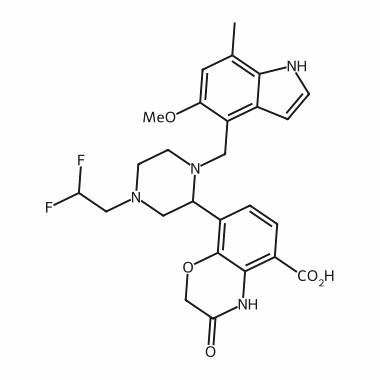 COc1cc(C)c2[nH]ccc2c1CN1CCN(CC(F)F)CC1c1ccc(C(=O)O)c2c1OCC(=O)N2